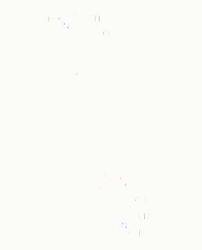 CC1C(OC(=O)CCCCCCCCC(=O)OC2CCN(C)C(C)(C)C2C)CCN(C)C1(C)C